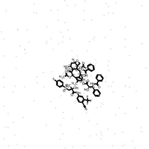 CC(=O)O[C@H]1C(=O)[C@@]2(C)[C@H]([C@H](OC(=O)c3ccccc3)[C@]3(O)C[C@H](OC(=O)[C@H](O)[C@@H](NC(=O)c4ccccc4)c4ccccc4)C(C)=C1C3(C)C)[C@]1(OC(C)=O)CO[C@@H]1C[C@@H]2O.CC(O)(CS(=O)(=O)c1ccc(F)cc1)C(=O)Nc1ccc(C#N)c(C(F)(F)F)c1